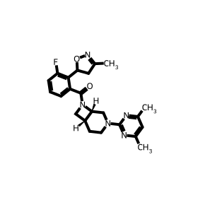 CC1=NOC(c2c(F)cccc2C(=O)N2C[C@H]3CCN(c4nc(C)cc(C)n4)C[C@H]32)C1